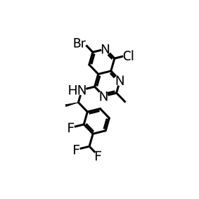 Cc1nc(N[C@H](C)c2cccc(C(F)F)c2F)c2cc(Br)nc(Cl)c2n1